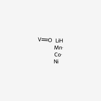 [Co].[LiH].[Mn].[Ni].[O]=[V]